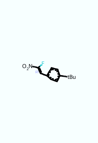 CC(C)(C)c1ccc(/C=C(\F)[N+](=O)[O-])cc1